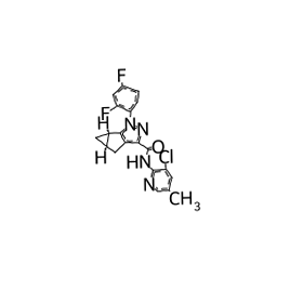 Cc1cnc(NC(=O)c2nn(-c3ccc(F)cc3F)c3c2C[C@@H]2C[C@H]32)c(Cl)c1